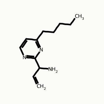 C=CC(N)c1nccc(CCCCC)n1